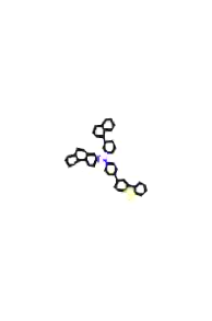 C1=CC(N(c2ccc(-c3ccc4sc5ccccc5c4c3)cc2)c2ccc3c(ccc4ccccc43)c2)=CC(c2cccc3ccccc23)C1